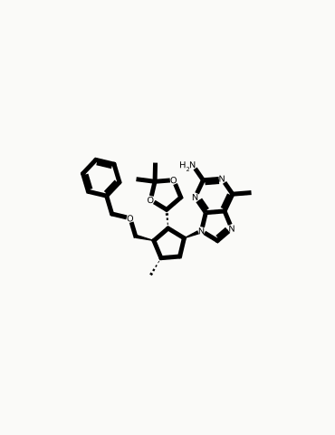 Cc1nc(N)nc2c1ncn2[C@H]1C[C@H](C)[C@@H](COCc2ccccc2)[C@@H]1C1COC(C)(C)O1